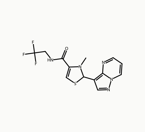 CN1C(C(=O)NCC(F)(F)F)=CSC1c1cnn2cccnc12